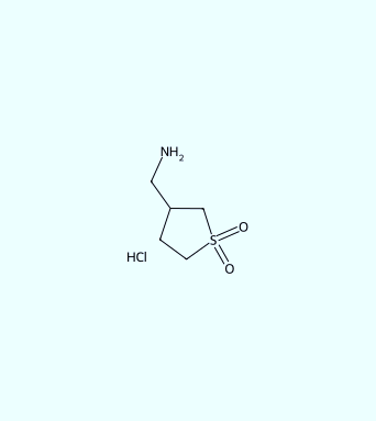 Cl.NCC1CCS(=O)(=O)C1